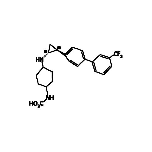 O=C(O)NC1CCC(N[C@@H]2C[C@H]2c2ccc(-c3cccc(C(F)(F)F)c3)cc2)CC1